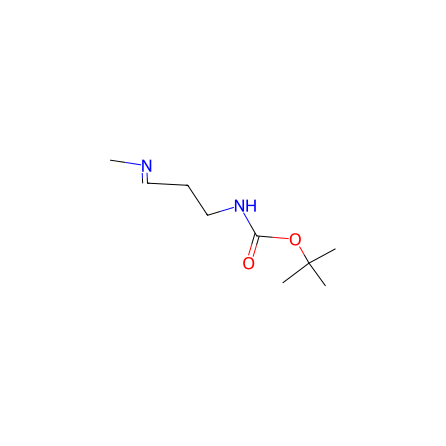 C/N=C/CCNC(=O)OC(C)(C)C